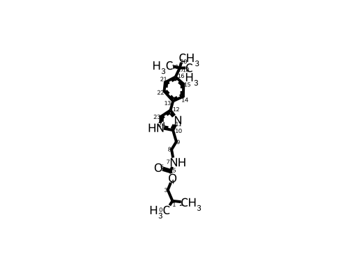 CC(C)COC(=O)NCCc1nc(-c2ccc(C(C)(C)C)cc2)c[nH]1